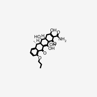 CCCOc1cccc2c1C(=O)C1=C(O)[C@]3(O)C(=O)C(C(N)=O)=C(O)C[C@@H]3[C@@H](O)[C@@H]1[C@H]2C